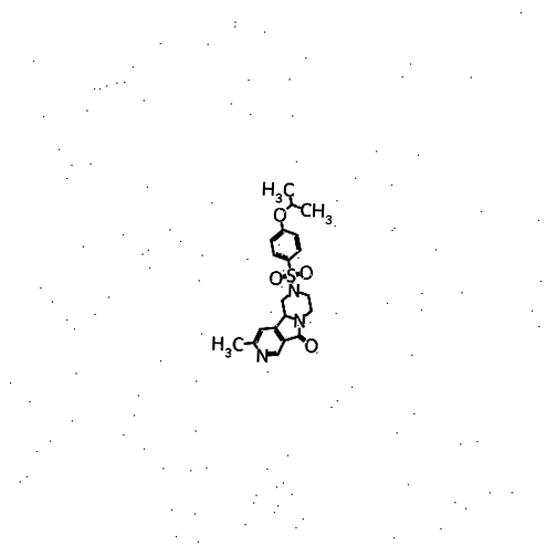 Cc1cc2c(cn1)C(=O)N1CCN(S(=O)(=O)c3ccc(OC(C)C)cc3)CC21